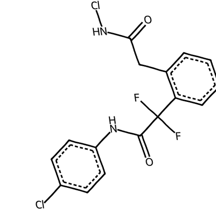 O=C(Cc1ccccc1C(F)(F)C(=O)Nc1ccc(Cl)cc1)NCl